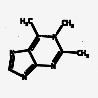 Cc1nc2ncnc-2c(C)n1C